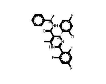 CC1=C(C(=O)N[C@H](C)c2ccccc2)[C@H](c2ccc(F)cc2Cl)N=C(c2c(F)cc(F)cc2F)N1